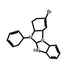 BrC1=CC2C(CC1)N(C1C=CC=CC1)C1NC3C=CC=CC3N21